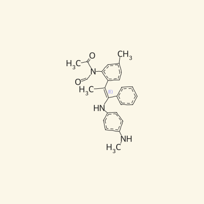 CNc1ccc(N/C(=C(\C)c2ccc(C)cc2N(C=O)C(C)=O)c2ccccc2)cc1